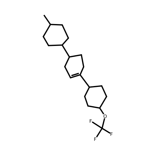 CC1CCC(C2CC=C(C3CCC(OC(F)(F)F)CC3)CC2)CC1